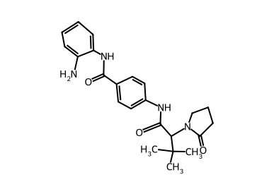 CC(C)(C)C(C(=O)Nc1ccc(C(=O)Nc2ccccc2N)cc1)N1CCCC1=O